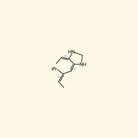 C\C=C(/C=C1/NCN/C1=C/C)C(C)C